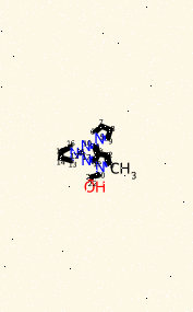 Cc1cc2c(N3CCCC3)nc(N3CCCC3)nc2n1CCO